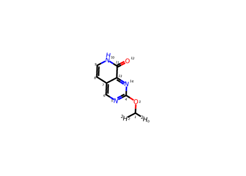 [2H]C([2H])Oc1ncc2cc[nH]c(=O)c2n1